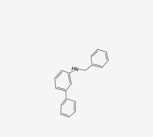 c1ccc(CNc2cccc(-c3ccccc3)c2)cc1